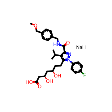 COCc1ccc(CNC(=O)c2nn(-c3ccc(F)cc3)c(CC[C@@H](O)C[C@@H](O)CC(=O)O)c2C(C)C)cc1.[NaH]